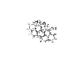 O=S1(=O)c2c(O)c3c4c(ccc5c6ccc7c8c(c(O)c1c(c2c45)c86)CCC7)CCC3